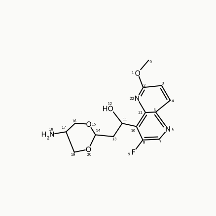 COc1ccc2ncc(F)c(C(O)CC3OCC(N)CO3)c2n1